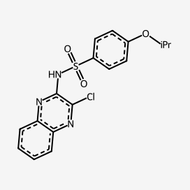 CC(C)Oc1ccc(S(=O)(=O)Nc2nc3ccccc3nc2Cl)cc1